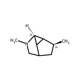 C[C@H]1CC2CN(C)[C@@H]3C2C31